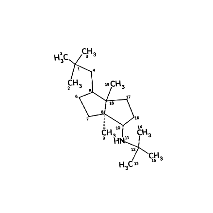 CC(C)(C)CC1CC[C@]2(C)C(NC(C)(C)C)CCC12C